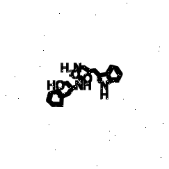 NCC(Cc1c[nH]c2ccccc12)OC(=O)NC(CO)Cc1ccccc1